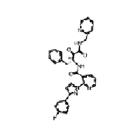 O=C(NCc1ccccn1)C(=O)[C@@H](Cc1ccccc1)NC(=O)c1cccnc1-n1ccc(-c2ccc(F)cc2)n1